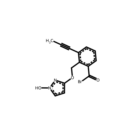 CC#Cc1cccc(C(=O)Br)c1COc1ccn(O)n1